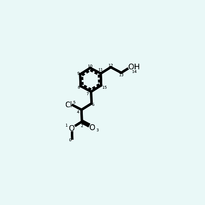 COC(=O)C(Cl)Cc1cccc(CCO)c1